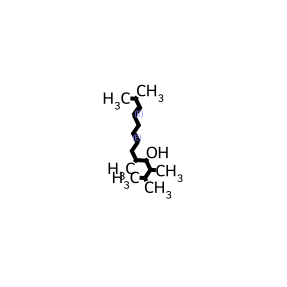 CC(C)/C=C/C/C=C/CC(C)C(O)C(C)C(C)C